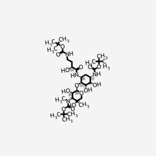 CN(C(=O)OC(C)(C)C)[C@@H]1[C@@H](O)[C@@H](O[C@@H]2[C@@H](O)[C@H](O)[C@@H](NC(=O)OC(C)(C)C)C[C@H]2NC(=O)[C@@H](O)CCNC(=O)OC(C)(C)C)OC[C@]1(C)O